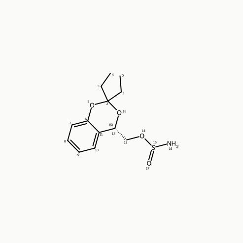 CCC1(CC)Oc2ccccc2[C@@H](COS(N)=O)O1